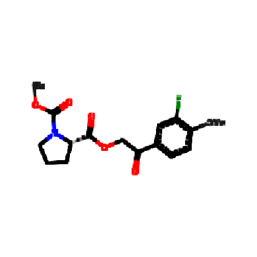 COc1ccc(C(=O)COC(=O)[C@@H]2CCCN2C(=O)OC(C)(C)C)cc1F